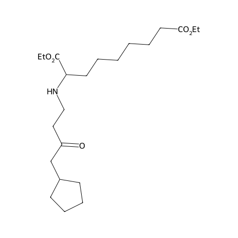 CCOC(=O)CCCCCCC(NCCC(=O)CC1CCCC1)C(=O)OCC